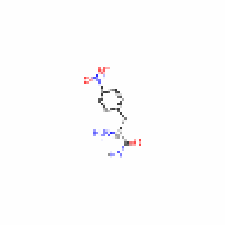 [NH]C(=O)[C@@H](N)Cc1ccc([N+](=O)[O-])cc1